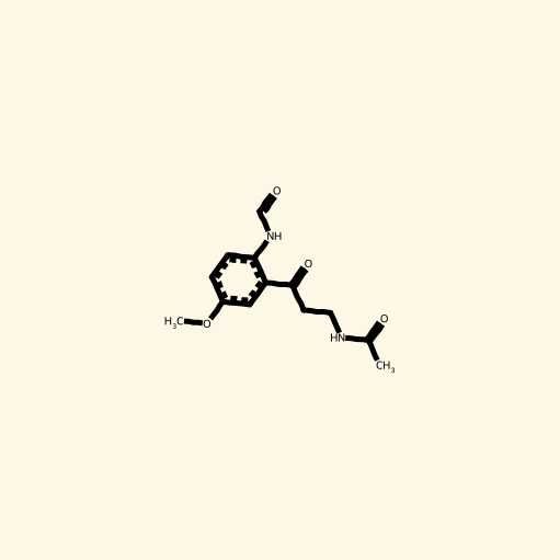 COc1ccc(NC=O)c(C(=O)CCNC(C)=O)c1